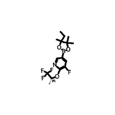 CCC1(C)OB(c2cnc(O[C@H](C)C(F)(F)F)c(F)c2)OC1(C)C